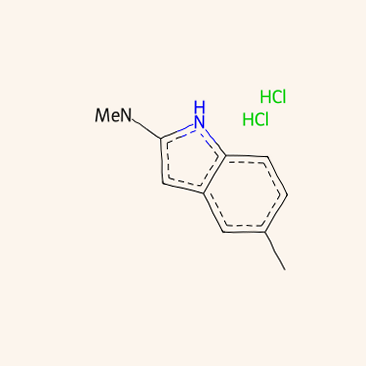 CNc1cc2cc(C)ccc2[nH]1.Cl.Cl